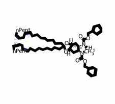 CCCCC/C=C\C/C=C\CCCCCCCCC1(CCCCCCCC/C=C\C/C=C\CCCCC)O[C@H]2C[C@@H](N(C)C(=O)OCc3ccccc3)[C@@H](N(C)C(=O)OCc3ccccc3)C[C@H]2O1